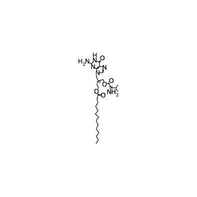 CCCCCCCCCCCCCC(=O)OCC[C@@H](COC(=O)[C@@H](N)C(C)C)Cn1cnc2c(=O)[nH]c(N)nc21